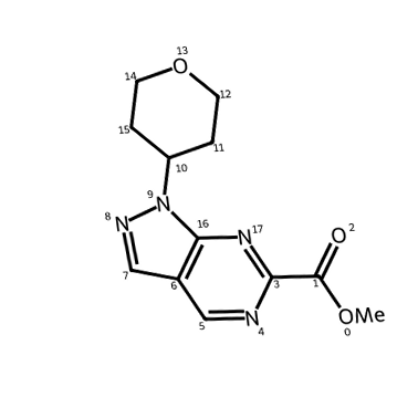 COC(=O)c1ncc2cnn(C3CCOCC3)c2n1